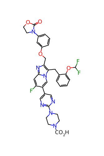 O=C(O)N1CCN(c2ncc(-c3cn4c(Cc5ccccc5OC(F)F)c(COc5cccc(N6CCOC6=O)c5)nc4cc3F)cn2)CC1